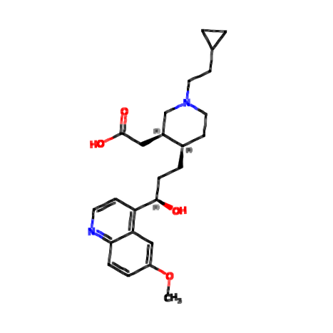 COc1ccc2nccc([C@H](O)CC[C@@H]3CCN(CCC4CC4)C[C@@H]3CC(=O)O)c2c1